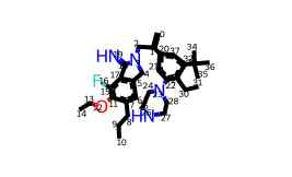 C=C(CN1Cc2cc(CCC)c(OCC)c(F)c2C1=N)c1cc(N2CCNCC2)c(CC)c(C(C)(C)C)c1